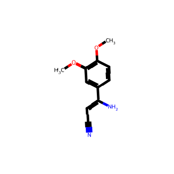 COc1ccc(C(N)=CC#N)cc1OC